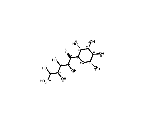 C[C@@H]1OC(C(=O)C(O)C(O)C(O)C(O)C(=O)O)[C@H](O)[C@H](O)[C@H]1O